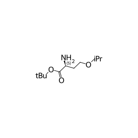 CC(C)OCC[C@H](N)C(=O)OC(C)(C)C